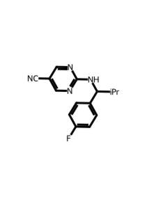 CC(C)C(Nc1ncc(C#N)cn1)c1ccc(F)cc1